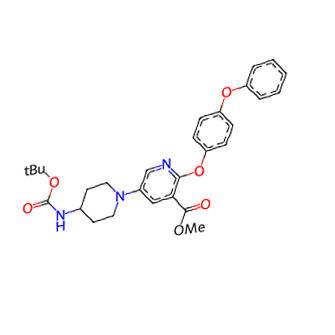 COC(=O)c1cc(N2CCC(NC(=O)OC(C)(C)C)CC2)cnc1Oc1ccc(Oc2ccccc2)cc1